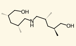 C[C@H](CO)C[C@@H](C)CNC[C@H](C)C[C@H](C)CO